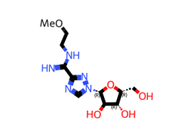 COCCNC(=N)c1ncn([C@@H]2O[C@H](CO)[C@H](O)C2O)n1